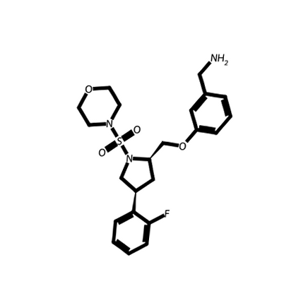 NCc1cccc(OC[C@H]2C[C@@H](c3ccccc3F)CN2S(=O)(=O)N2CCOCC2)c1